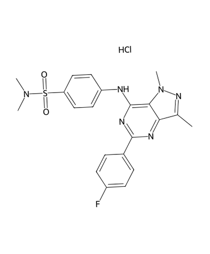 Cc1nn(C)c2c(Nc3ccc(S(=O)(=O)N(C)C)cc3)nc(-c3ccc(F)cc3)nc12.Cl